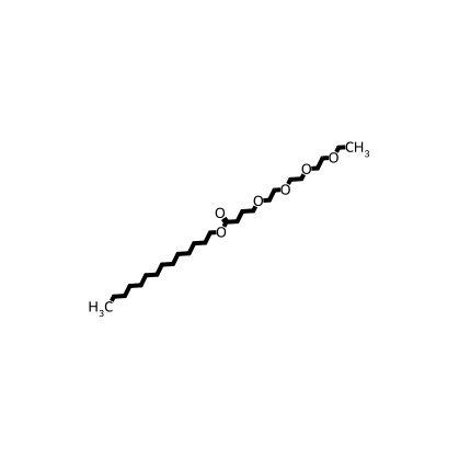 CCCCCCCCCCCCCCOC(=O)CCCOCCOCCOCCOCC